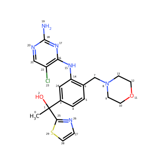 CC(O)(c1ccc(CN2CCOCC2)c(Nc2nc(N)ncc2Cl)c1)c1nccs1